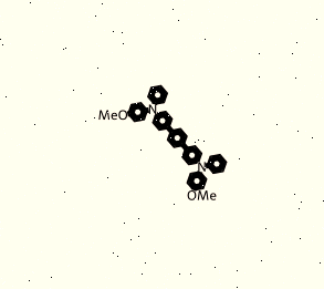 COc1ccc(N(c2ccccc2)c2ccc(-c3ccc(-c4ccc(N(c5ccccc5)c5ccc(OC)cc5)cc4)cc3)cc2)cc1